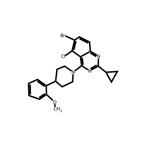 COc1ccccc1C1CCN(c2nc(C3CC3)nc3ccc(Br)c(Cl)c23)CC1